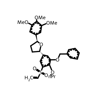 C=CS(=O)(=O)c1cc([C@@H]2CC[C@@H](c3cc(OC)c(OC)c(OC)c3)O2)cc(OCc2ccccc2)c1OCCC